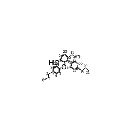 CCCc1ccc(Oc2cc(CC(C)c3cccc(CCC)c3)ccc2O)cc1